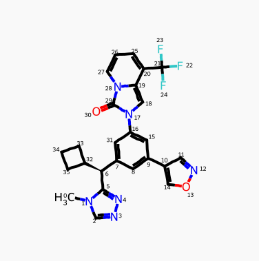 Cn1cnnc1[C@H](c1cc(-c2cnoc2)cc(-n2cc3c(C(F)(F)F)cccn3c2=O)c1)C1CCC1